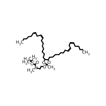 CCCCC/C=C\C/C=C\CCCCCCCC1OC(C)(OCCN(C)C(=O)OC(C)(C)C)OC1CCCCCCC/C=C\C/C=C\CCCCC